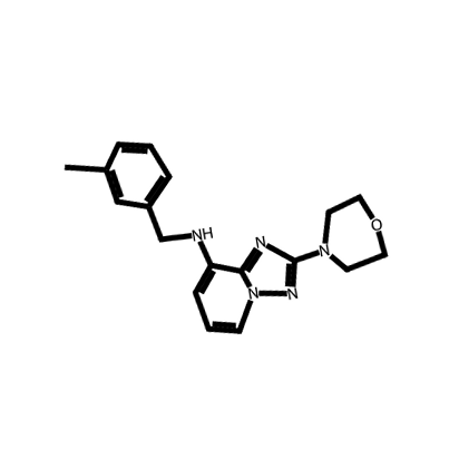 Cc1cccc(CNc2cccn3nc(N4CCOCC4)nc23)c1